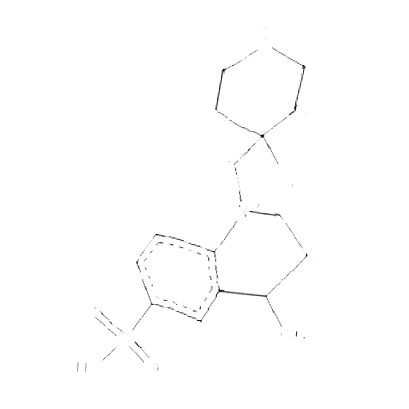 O=S(=O)(O)c1ccc2c(c1)C(O)CCN2CC1(F)CCOCC1